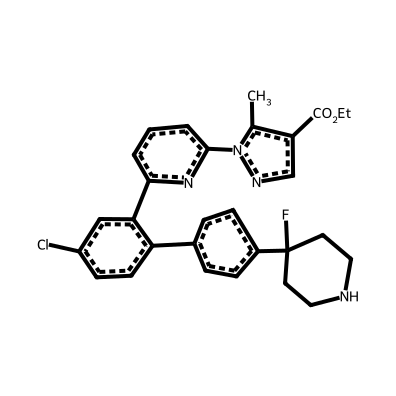 CCOC(=O)c1cnn(-c2cccc(-c3cc(Cl)ccc3-c3ccc(C4(F)CCNCC4)cc3)n2)c1C